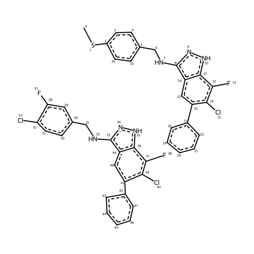 CSc1ccc(CNc2n[nH]c3c(F)c(Cl)c(-c4ccccc4)cc23)cc1.Fc1cc(CNc2n[nH]c3c(F)c(Cl)c(-c4ccccc4)cc23)ccc1Cl